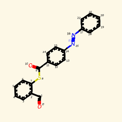 O=Cc1ccccc1SC(=O)c1ccc(/N=N/c2ccccc2)cc1